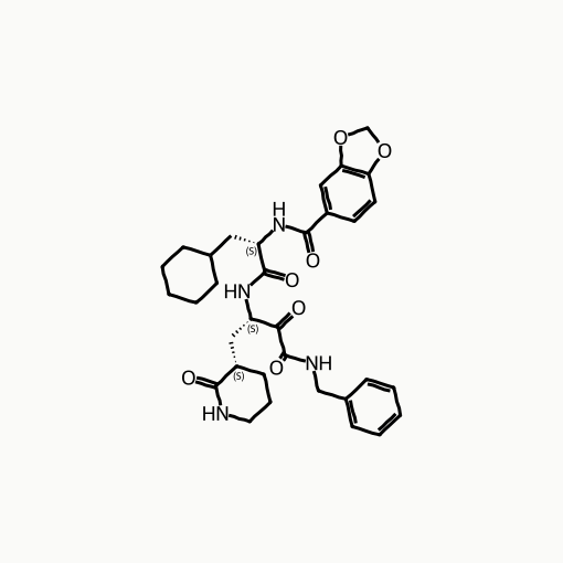 O=C(NCc1ccccc1)C(=O)[C@H](C[C@@H]1CCCNC1=O)NC(=O)[C@H](CC1CCCCC1)NC(=O)c1ccc2c(c1)OCO2